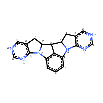 c1cc2c3c(c1)N1c4ncncc4CC1C3C1Cc3cncnc3N21